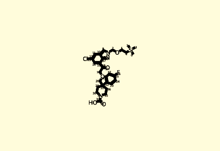 C[Si](C)(C)CCOCn1cc2cc(Cl)cc(C(=O)COCC3(c4ccc(F)cc4)CCN(C(=O)O)CC3)c2n1